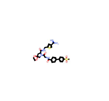 CS(=O)(=O)c1ccc(-c2ccc(C(=O)NCC(=O)N3CC4(CC3C(=O)NCc3cc(C(=N)N)cs3)OCCO4)cc2)cc1